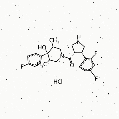 CC1CN(C(=O)[C@@H]2CNC[C@H]2c2ccc(F)cc2F)CC(C)C1(O)c1ccc(F)cc1.Cl